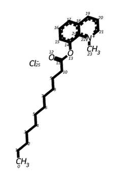 CCCCCCCCCCCC(=O)Oc1cccc2ccc[n+](C)c12.[Cl-]